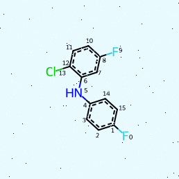 Fc1ccc(Nc2cc(F)ccc2Cl)cc1